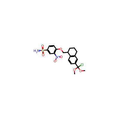 COC(Cl)(OC)c1ccc2c(c1)CCCC2COc1ccc(S(N)(=O)=O)cc1[N+](=O)[O-]